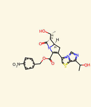 CC(O)c1ncn2c(C3=C(C(=O)OCc4ccc([N+](=O)[O-])cc4)N4C(=O)[C@H]([C@@H](C)O)[C@H]4C3)csc12